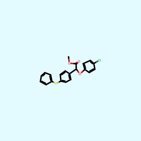 COC(=O)C(Oc1ccc(Cl)cc1)c1ccc(Sc2ccccc2)cc1